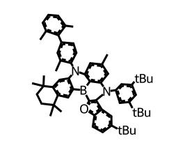 Cc1cc2c3c(c1)N(c1cc(C(C)(C)C)cc(C(C)(C)C)c1)c1c(oc4ccc(C(C)(C)C)cc14)B3c1cc3c(cc1N2c1ccc(-c2c(C)cccc2C)cc1C)C(C)(C)CCC3(C)C